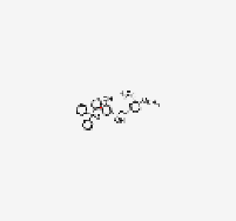 COc1ccc(CCC(O)c2cc(O)cc(OC(c3ccccc3)(c3ccccc3)c3ccccc3)c2)cc1OC